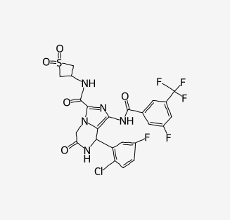 O=C1Cn2c(C(=O)NC3CS(=O)(=O)C3)nc(NC(=O)c3cc(F)cc(C(F)(F)F)c3)c2C(c2cc(F)ccc2Cl)N1